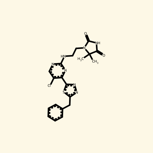 CC1(C)C(=O)NC(=O)N1CCNc1ncc(Cl)c(-c2nnc(Cc3ccccc3)s2)n1